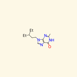 CCC(CC)CCn1cnc2c(=O)[nH]c(C)nc21